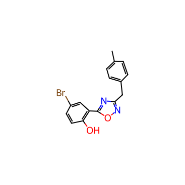 Cc1ccc(Cc2noc(-c3cc(Br)ccc3O)n2)cc1